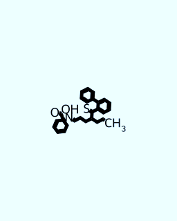 CCCC(CCC=NC1(C(=O)O)C=CC=CC1)C(=S)c1ccccc1-c1ccccc1